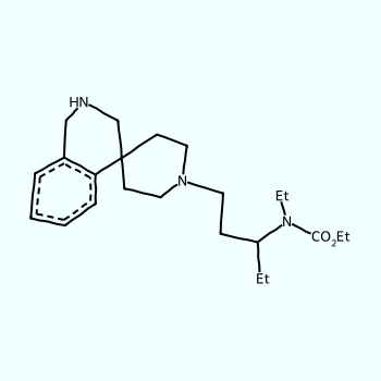 CCOC(=O)N(CC)C(CC)CCN1CCC2(CC1)CNCc1ccccc12